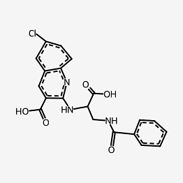 O=C(NCC(Nc1nc2ccc(Cl)cc2cc1C(=O)O)C(=O)O)c1ccccc1